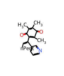 CCCCCC=C(C1=C(C)C(=O)C(C)=C(C)C1=O)c1cccnc1